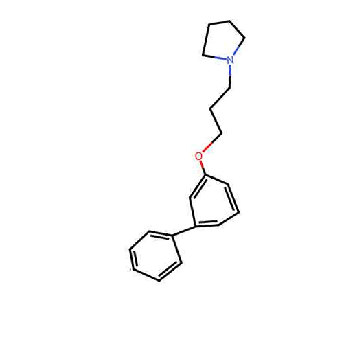 [c]1ccc(-c2cccc(OCCCN3CCCC3)c2)cc1